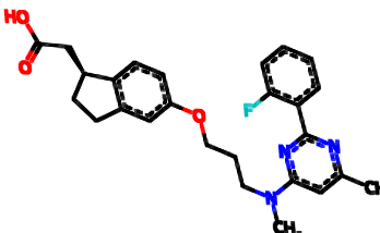 Cc1cc(N(C)CCCOc2ccc3c(c2)CC[C@H]3CC(=O)O)nc(-c2ccccc2F)n1